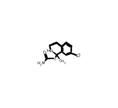 CC1(OC(N)=O)NCCc2ccc(Cl)cc21